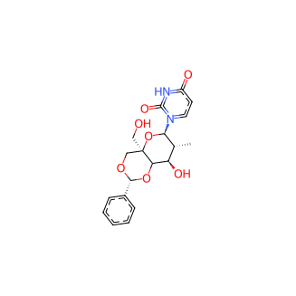 C[C@H]1[C@H](n2ccc(=O)[nH]c2=O)O[C@]2(CO)CO[C@@H](c3ccccc3)OC2[C@@H]1O